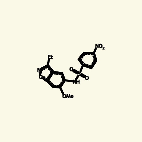 CCc1noc2cc(OC)c(NS(=O)(=O)c3ccc([N+](=O)[O-])cc3)cc12